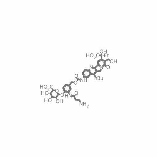 CCCCc1c2c(nc3ccc(NC(=O)OCc4ccc(OC5OC(C(=O)O)[C@@H](O)C(O)[C@H]5O)c(NC(=O)CCN)c4)cc13)-c1cc([C@@](O)(CC)C(=O)O)c(CO)c(=O)n1C2